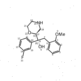 COc1ccccc1C[C@@](O)(c1cccc(F)c1)[C@@H]1CNCCO1